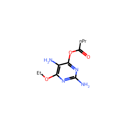 CCCC(=O)Oc1nc(N)nc(OCC)c1N